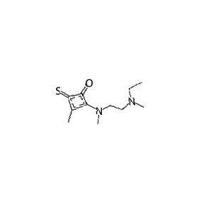 CCN(C)CCN(C)c1c(C)c(=S)c1=O